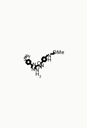 COCCNCc1ccc(-c2nnc(-c3nc(-c4ccc(SC(C)C)cc4)cnc3N)o2)cc1